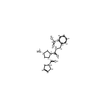 O=C([C@@H]1C[C@H](S)CN1C(=O)OCc1ccccc1[N+](=O)[O-])N1CC=CC1